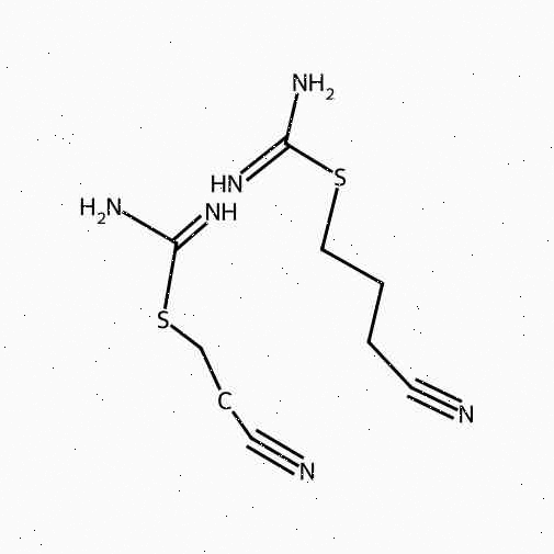 N#CCCCSC(=N)N.N#CCCSC(=N)N